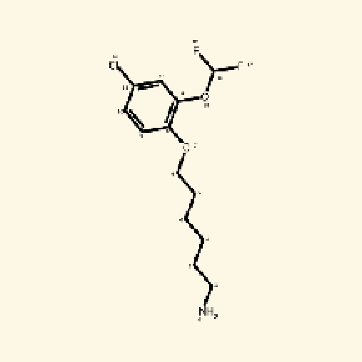 NCCCCCCOc1ccc(Cl)cc1OC(F)F